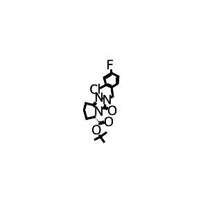 CC(C)(C)OC(=O)[C@@H]1CCCc2nn(Cc3ccc(F)cc3Cl)c(=O)n21